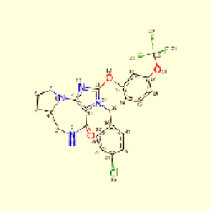 O=C1NCC2CCCN2c2nc(Oc3cccc(OC(F)(F)F)c3)n(Cc3ccc(Cl)cc3)c21